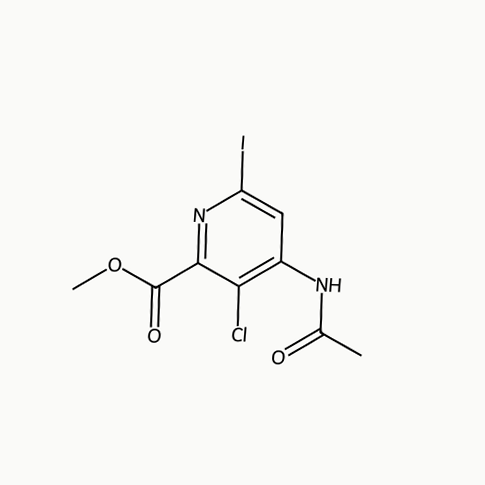 COC(=O)c1nc(I)cc(NC(C)=O)c1Cl